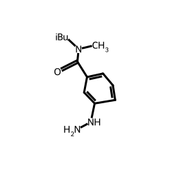 CCC(C)N(C)C(=O)c1cccc(NN)c1